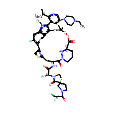 CCn1c(-c2cc(N3CCN(CC(F)(F)F)CC3)cnc2[C@H](C)OC)c2c3cc(c(F)cc31)-c1csc(n1)C[C@H](NC(=O)[C@H](C(C)C)N1CC[C@@]3(CCN(C(=O)[C@H](F)Cl)C3)C1=O)C(=O)N1CCC[C@H](N1)C(=O)OCC(C)(C)C2